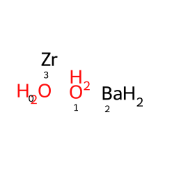 O.O.[BaH2].[Zr]